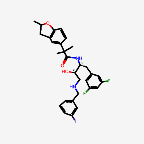 CC1Cc2cc(C(C)(C)C(=O)N[C@@H](Cc3cc(F)cc(F)c3)[C@H](O)CNCc3cccc(I)c3)ccc2O1